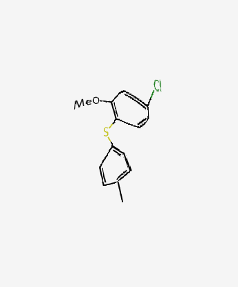 COc1cc(Cl)ccc1Sc1ccc(C)cc1